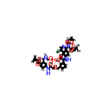 CN(C=O)Cc1cc(NC(=O)COCc2cccc(C(Nc3ccc4c(N(C(=O)OC(C)(C)C)C(=O)OC(C)(C)C)ncc(F)c4c3)C(=O)O)c2)ccc1S(=O)(=O)C1CC1